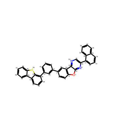 c1cc(-c2ccc3oc4nc(-c5cccc6ccccc56)cnc4c3c2)cc(-c2cccc3c2sc2ccccc23)c1